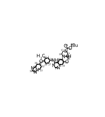 Cc1cc(Nc2ncnc3cc4c(cc23)N2CCN(C(=O)OC(C)(C)C)C[C@H]2CO4)ccc1Oc1ccn2ncnc2c1